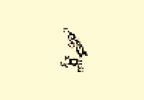 C=C1CN(S(=O)(=O)c2ccc(Cl)cn2)C[C@@H]1Oc1cc(F)c(C#N)cc1OCC